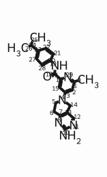 Cc1cc(N2CCc3nc(N)ncc3C2)cc(C(=O)Nc2ccc(C(C)C)cc2)n1